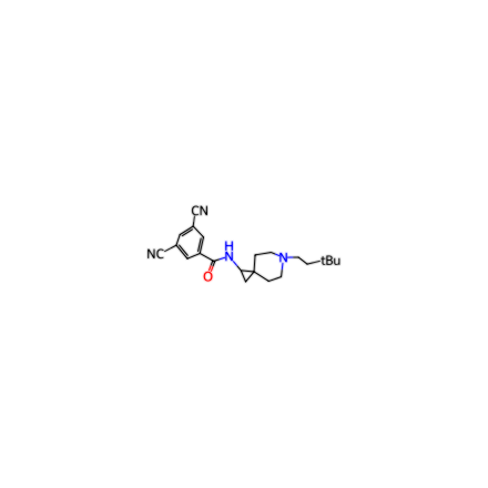 CC(C)(C)CCN1CCC2(CC1)CC2NC(=O)c1cc(C#N)cc(C#N)c1